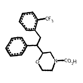 O=C(O)N1CCOC(C(Cc2ccccc2C(F)(F)F)c2ccccc2)C1